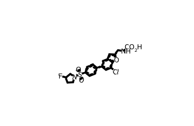 O=C(O)NCc1cc2cc(-c3ccc(S(=O)(=O)N4CCC(F)C4)cc3)cc(Cl)c2o1